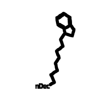 CCCCCCCCCCCCCCCCCCC1CCc2ccccc21